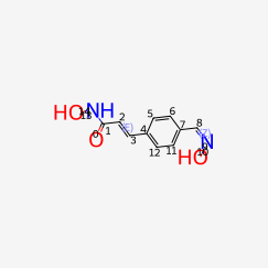 O=C(/C=C/c1ccc(/C=N\O)cc1)NO